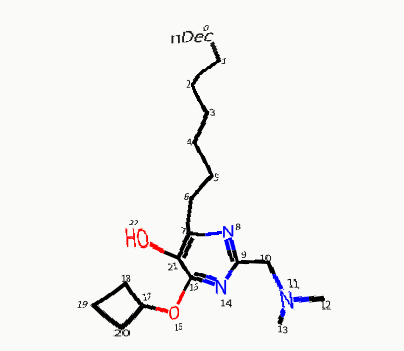 CCCCCCCCCCCCCCCCc1nc(CN(C)C)nc(OC2CCC2)c1O